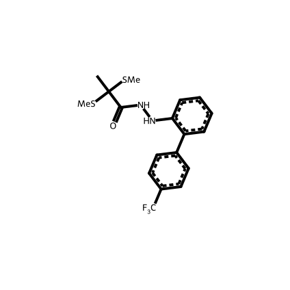 CSC(C)(SC)C(=O)NNc1ccccc1-c1ccc(C(F)(F)F)cc1